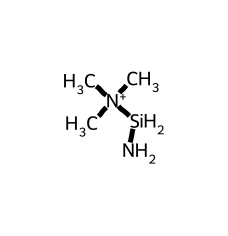 C[N+](C)(C)[SiH2]N